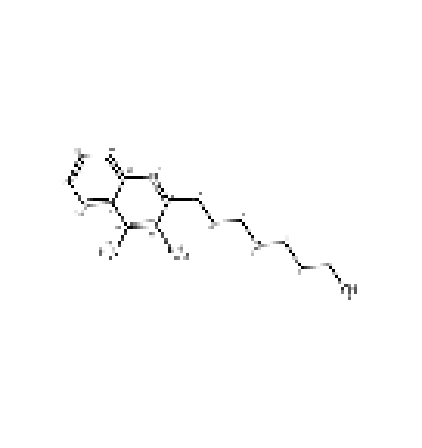 CCCCOCCCc1nc2cccnc2c(N)c1N